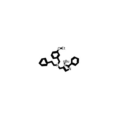 CCCCn1c(CN(CCc2ccccc2)Cc2cccc(OCC)c2)cnc1-c1ccccc1